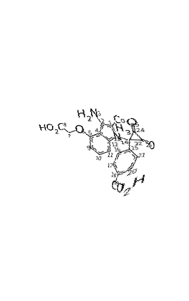 Cc1c(N)c2c(OCC(=O)O)cccc2n1C1(c2ccc(C(=O)O)cc2)C(=O)C1=O